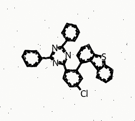 Clc1ccc(-c2nc(-c3ccccc3)nc(-c3ccccc3)n2)c(-c2cccc3sc4ccccc4c23)c1